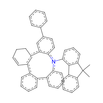 CC1(C)c2ccccc2-c2c(-n3c4ccc(-c5ccccc5)cc4c4c(c5ccccc5c5ccccc53)C=CCC4)cccc21